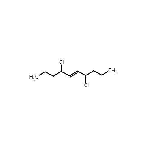 CCCC(Cl)C=CC(Cl)CCC